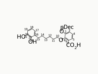 CCCCCCCCCCOc1cccc(C(=O)O)c1OCCCCCCc1cccc(O)c1O